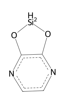 c1cnc2c(n1)O[SiH2]O2